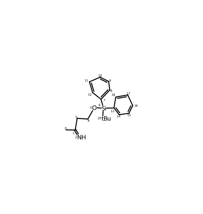 CC(=N)CCO[Si](c1ccccc1)(c1ccccc1)C(C)(C)C